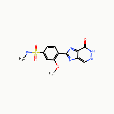 CNS(=O)(=O)c1ccc(-c2nc3c[nH][nH]c(=O)c-3n2)c(OC)c1